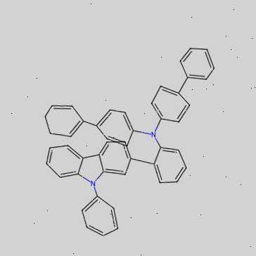 C1=CC(c2ccc(N(c3ccc(-c4ccccc4)cc3)c3ccccc3-c3ccc4c5ccccc5n(-c5ccccc5)c4c3)cc2)=CCC1